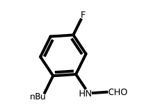 CCCCc1ccc(F)cc1NC=O